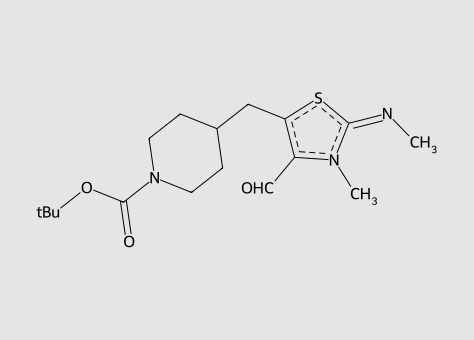 C/N=c1/sc(CC2CCN(C(=O)OC(C)(C)C)CC2)c(C=O)n1C